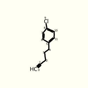 C#CCCCc1ccc(Cl)cc1